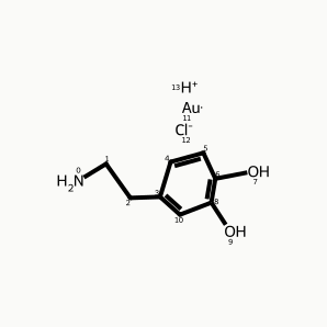 NCCc1ccc(O)c(O)c1.[Au].[Cl-].[H+]